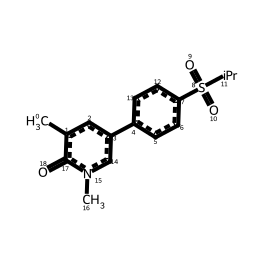 Cc1cc(-c2ccc(S(=O)(=O)C(C)C)cc2)cn(C)c1=O